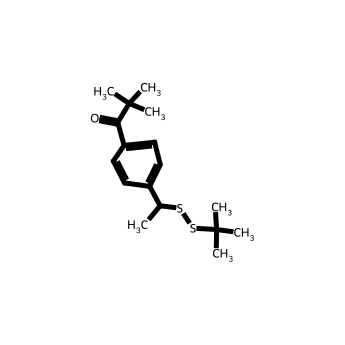 CC(SSC(C)(C)C)c1ccc(C(=O)C(C)(C)C)cc1